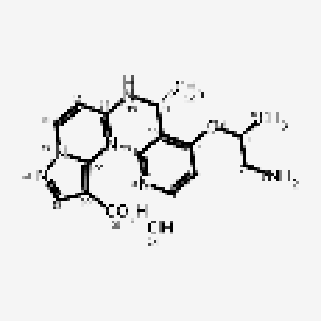 C[C@@H](CN)Oc1ccncc1[C@@H](C)Nc1ccn2ncc(C(=O)O)c2n1.Cl